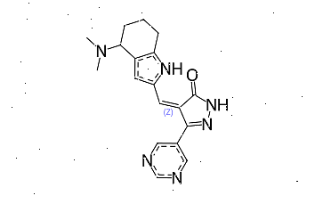 CN(C)C1CCCc2[nH]c(/C=C3\C(=O)NN=C3c3cncnc3)cc21